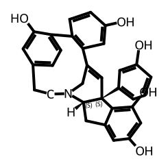 Oc1cccc([C@]23C=C4CN(CCc5ccc(c(O)c5)-c5ccc(O)cc54)[C@H]2Cc2cc(O)cc(O)c23)c1